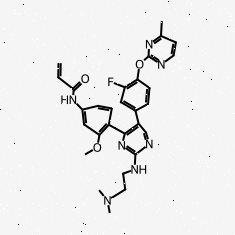 C=CC(=O)Nc1ccc(-c2nc(NCCN(C)C)ncc2-c2ccc(Oc3nccc(C)n3)c(F)c2)c(OC)c1